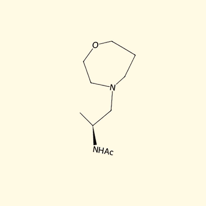 CC(=O)N[C@@H](C)CN1CCCOCC1